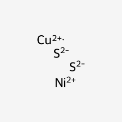 [Cu+2].[Ni+2].[S-2].[S-2]